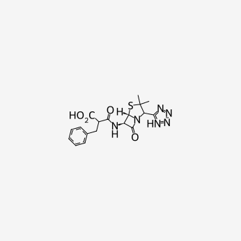 CC1(C)S[C@H]2[C@H](NC(=O)C(Cc3ccccc3)C(=O)O)C(=O)N2C1c1nnn[nH]1